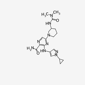 CN(C)C(=O)NC1CCCN(c2cnc(C(N)=O)c(Nc3cnn(C4CC4)c3)n2)C1